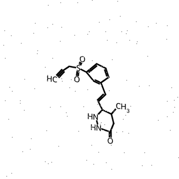 C#CCS(=O)(=O)c1cccc(/C=C/C2NNC(=O)CC2C)c1